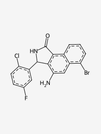 Nc1cc2c(Br)cccc2c2c1C(c1cc(F)ccc1Cl)NC2=O